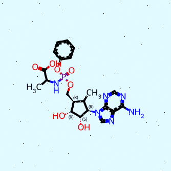 CC(NP(=O)(OC[C@H]1C(C)[C@@H](n2cnc3c(N)ncnc32)[C@H](O)[C@@H]1O)Oc1ccccc1)C(=O)O